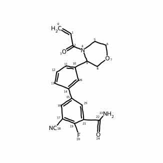 C=CC(=O)N1CCOCC1c1cccc(-c2cc(C#N)c(F)c(C(N)=O)c2)c1